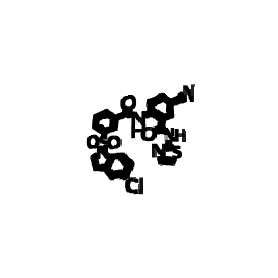 N#Cc1ccc(NC(=O)c2cccc(S(=O)(=O)N3CCc4cc(Cl)ccc43)c2)c(C(=O)Nc2nccs2)c1